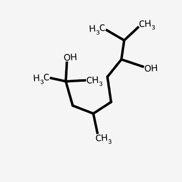 CC(CCC(O)C(C)C)CC(C)(C)O